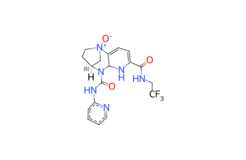 O=C(NCC(F)(F)F)C1=CC=C2C(N1)N(C(=O)Nc1ccccn1)[C@H]1CC[N+]2([O-])C1